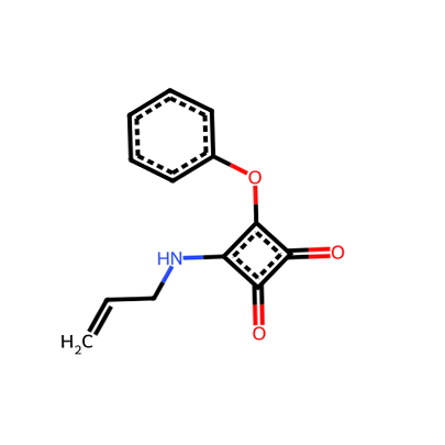 C=CCNc1c(Oc2ccccc2)c(=O)c1=O